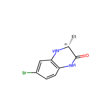 CC[C@H]1Nc2cc(Br)ccc2NC1=O